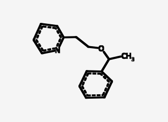 CC(OCCc1ccccn1)c1ccccc1